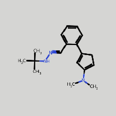 CN(C)C1=CCC(c2ccccc2/C=N/NC(C)(C)C)=C1